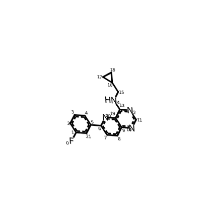 Fc1cccc(-c2ccc3ncnc(NCC4CC4)c3n2)c1